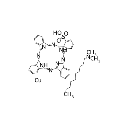 CCCCCCCCCCN(C)C.O=S(=O)(O)c1cccc2c3nc4nc(nc5[nH]c(nc6nc(nc([nH]3)c12)-c1ccccc1-6)c1ccccc51)-c1ccccc1-4.[Cu]